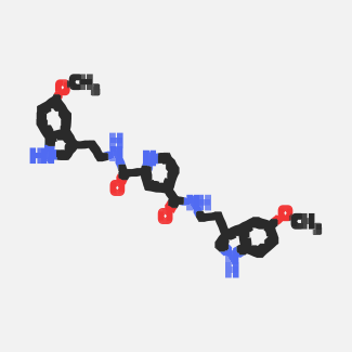 COc1ccc2[nH]cc(CCNC(=O)c3ccnc(C(=O)NCCc4c[nH]c5ccc(OC)cc45)c3)c2c1